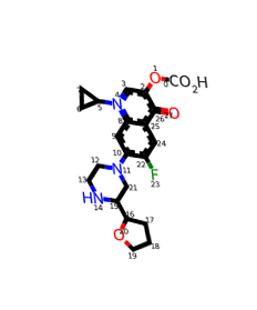 O=C(O)Oc1cn(C2CC2)c2cc(N3CCNC(C4CCCO4)C3)c(F)cc2c1=O